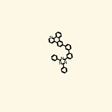 c1ccc(-c2nc(-c3ccccc3)nc(-c3cccc(-c4cccc(-c5ccc6c(c5)c5ccccc5c5ncccc65)c4)c3)n2)cc1